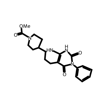 COC(=O)N1CCC(C2CCc3c([nH]c(=O)n(-c4ccccc4)c3=O)N2)CC1